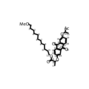 COCCCCCCCCCCCCOC(=O)C(C)Oc1ccc2c(c1)C(=O)c1ccc(OC(C)C(C)=O)cc1C2=O